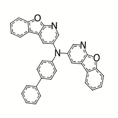 c1ccc(-c2ccc(N(c3cnc4oc5ccccc5c4c3)c3cnc4oc5ccccc5c4c3)cc2)cc1